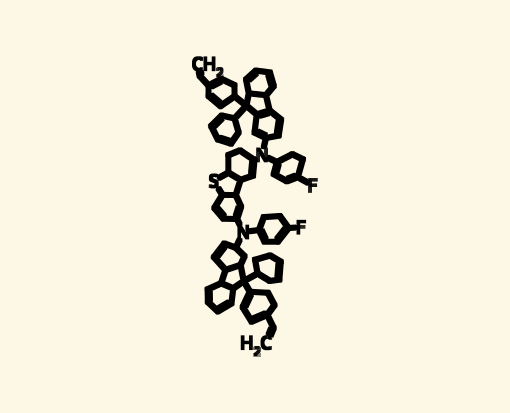 C=CC1=CCC(C2(C3C=CC=CC3)c3cc(N(C4=CC=C(F)CC4)C4=CC5C(CC4)SC4C=CC(N(C6=CC=C(F)CC6)C6C=CC7C8C=CC=CC8C(C8=CC=C(C=C)CC8)(C8CC=CCC8)C7C6)=CC45)ccc3C3C=CC=CC32)C=C1